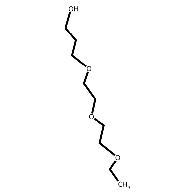 CCOCCOCCOCCCO